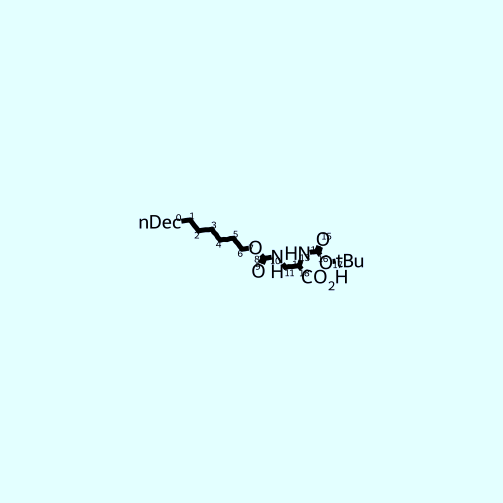 CCCCCCCCCCCCCCCCOC(=O)NCC(NC(=O)OC(C)(C)C)C(=O)O